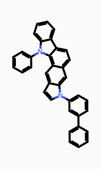 c1ccc(-c2cccc(-n3ccc4cc5c(ccc6c7ccccc7n(-c7ccccc7)c56)cc43)c2)cc1